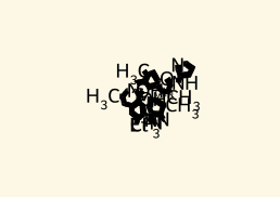 CCn1nnc2c(C)c([C@H](c3ccc(C)c(CN4CC(C)Cc5cc(C(F)(F)F)ccc5S4(O)O)c3)[C@@H](C)C(=O)Nc3cccnc3)ccc21